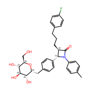 Cc1ccc(N2C(=O)[C@H](CCCc3ccc(F)cc3)[C@H]2c2ccc(C[C@H]3O[C@H](CO)[C@@H](O)[C@H](O)[C@H]3O)cc2)cc1